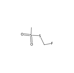 CS(=O)(=O)SCF